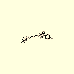 Cc1ccc(S(=O)(=O)OCCCCCO[Si](C)(C)C(C)(C)C)cc1